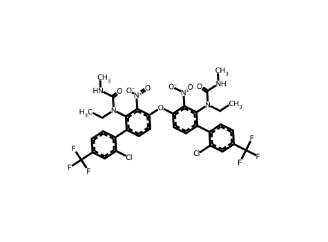 CCN(C(=O)NC)c1c(-c2ccc(C(F)(F)F)cc2Cl)ccc(Oc2ccc(-c3ccc(C(F)(F)F)cc3Cl)c(N(CC)C(=O)NC)c2[N+](=O)[O-])c1[N+](=O)[O-]